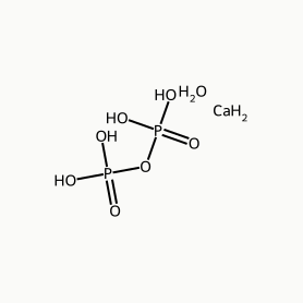 O.O=P(O)(O)OP(=O)(O)O.[CaH2]